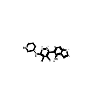 Cc1c(N[C@@H]2CCCNC2)nnc(-c2ccc3sccc3c2O)c1C